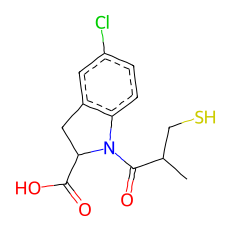 CC(CS)C(=O)N1c2ccc(Cl)cc2CC1C(=O)O